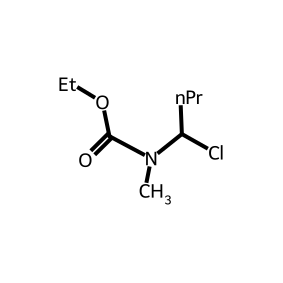 CCCC(Cl)N(C)C(=O)OCC